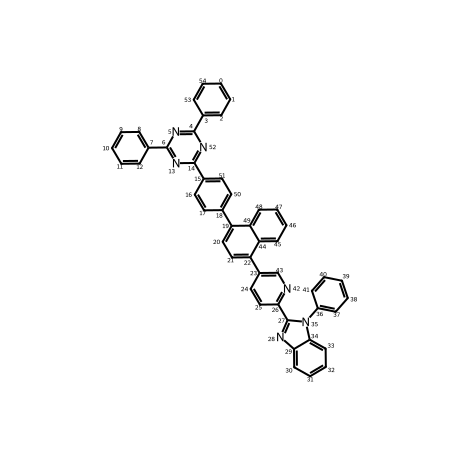 c1ccc(-c2nc(-c3ccccc3)nc(-c3ccc(-c4ccc(-c5ccc(-c6nc7ccccc7n6-c6ccccc6)nc5)c5ccccc45)cc3)n2)cc1